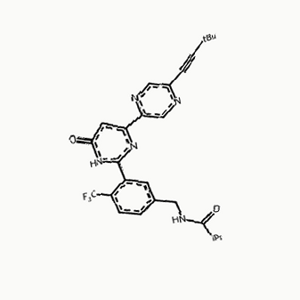 CC(C)C(=O)NCc1ccc(C(F)(F)F)c(-c2nc(-c3cnc(C#CC(C)(C)C)cn3)cc(=O)[nH]2)c1